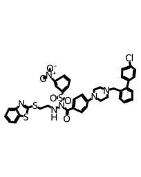 O=C(c1ccc(N2CCN(Cc3ccccc3-c3ccc(Cl)cc3)CC2)cc1)N(NCCSc1nc2ccccc2s1)S(=O)(=O)c1cccc([N+](=O)[O-])c1